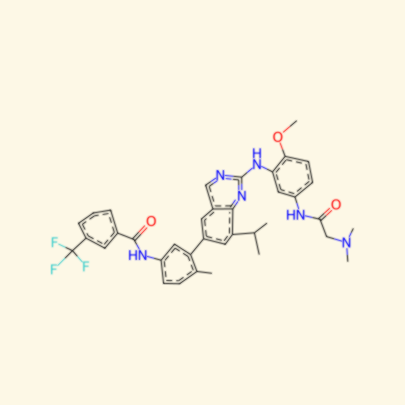 COc1ccc(NC(=O)CN(C)C)cc1Nc1ncc2cc(-c3cc(NC(=O)c4cccc(C(F)(F)F)c4)ccc3C)cc(C(C)C)c2n1